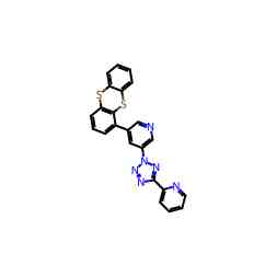 c1ccc(-c2nnn(-c3cncc(-c4cccc5c4Sc4ccccc4S5)c3)n2)nc1